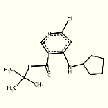 CC(C)(C)OC(=O)c1cnc(Cl)cc1NC1CCCC1